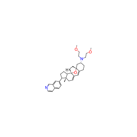 COCCN(CCOC)[C@@H]1CCC2=CC3=CC[C@]4(C)C(c5ccc6ccncc6c5)CC[C@H]4[C@@]34CC[C@]2(C1)O4